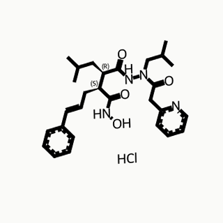 CC(C)C[C@@H](C(=O)NN(CC(C)C)C(=O)Cc1ccccn1)[C@H](CC=Cc1ccccc1)C(=O)NO.Cl